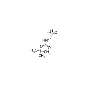 CC(C)(C)OC(=O)NC[SH](=O)=O